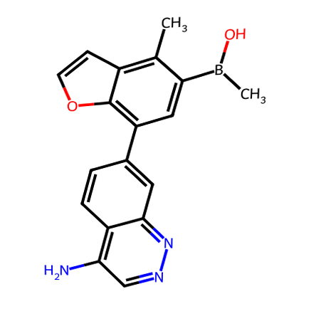 CB(O)c1cc(-c2ccc3c(N)cnnc3c2)c2occc2c1C